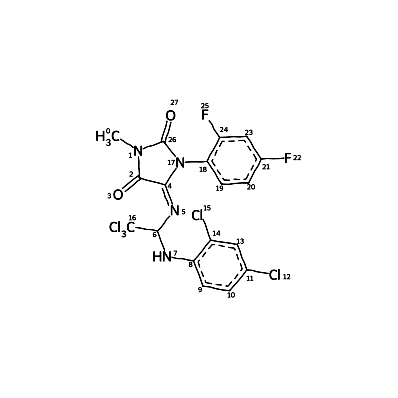 CN1C(=O)C(=NC(Nc2ccc(Cl)cc2Cl)C(Cl)(Cl)Cl)N(c2ccc(F)cc2F)C1=O